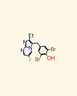 CCc1nc2ncc(F)cn2c1Cc1cc(Br)c(O)c(Br)c1